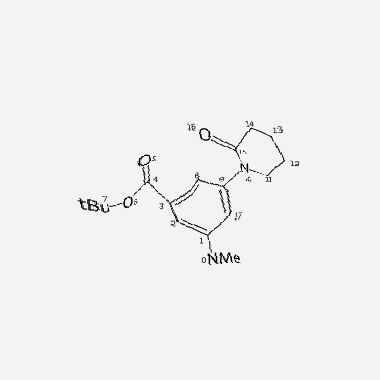 CNc1cc(C(=O)OC(C)(C)C)cc(N2CCCCC2=O)c1